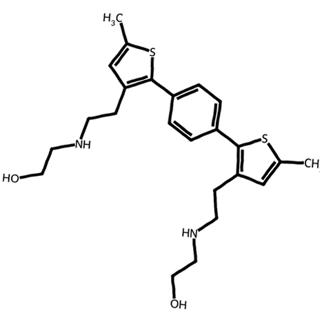 Cc1cc(CCNCCO)c(-c2ccc(-c3sc(C)cc3CCNCCO)cc2)s1